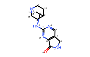 O=C1NCc2cnc(NC3CN4CCC3CC4)nc21